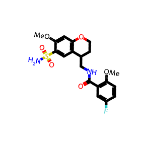 COc1ccc(F)cc1C(=O)NCC1CCOc2cc(OC)c(S(N)(=O)=O)cc21